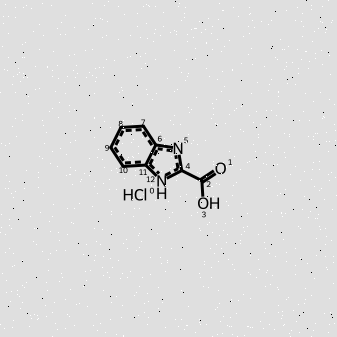 Cl.O=C(O)c1nc2ccccc2[nH]1